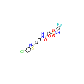 O=C(NC1CC2(C1)CC(c1nc3cc(Cl)ccc3s1)C2)c1ccc(S(=O)(=O)NC2CC(F)(F)C2)o1